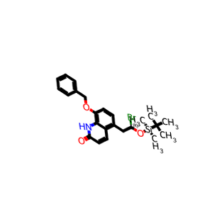 CC(C)(C)[Si](C)(C)O[C@H](Br)Cc1ccc(OCc2ccccc2)c2[nH]c(=O)ccc12